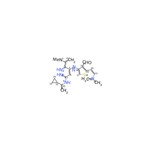 C=C(NC)C(=N)/C(=C\C(=N)NC(=C)C1CC1)Nc1csc(/C=C\N(C)C)c1C=O